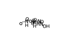 O=C(NCCCc1ccccc1)c1ccc(S(=O)(=O)NC(=O)c2ccc(C(=O)NCCO)nc2)cc1